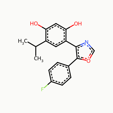 CC(C)c1cc(-c2ncoc2-c2ccc(F)cc2)c(O)cc1O